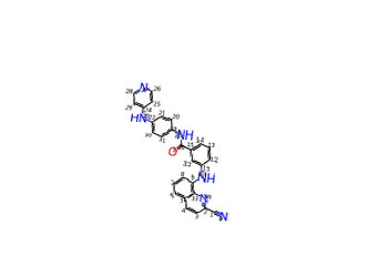 N#Cc1ccc2cccc(Nc3cccc(C(=O)Nc4ccc(Nc5ccncc5)cc4)c3)c2n1